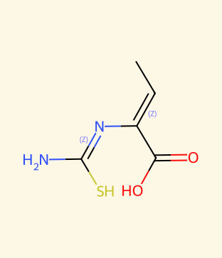 C/C=C(\N=C(\N)S)C(=O)O